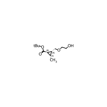 C[C@H]1[C@@H](COCCO)[C@@H]1C(=O)OC(C)(C)C